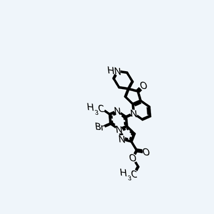 CCOC(=O)c1cc2c(N3CC=CC4=C3CC3(CCNCC3)C4=O)nc(C)c(Br)n2n1